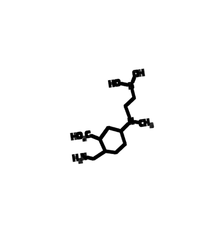 CN(CCB(O)O)C1CCC(CN)C(C(=O)O)C1